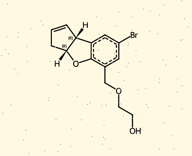 OCCOCc1cc(Br)cc2c1O[C@@H]1CC=C[C@H]21